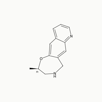 C[C@@H]1CNCc2cc3ncccc3cc2O1